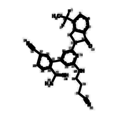 CC(F)(F)c1cccc2c1CN(c1cc(-c3cc(C#N)ccc3C(=N)N)cc(NCCCC#N)n1)C2=O